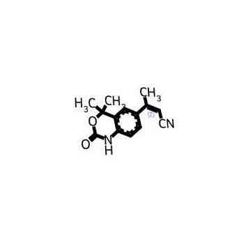 C/C(=C/C#N)c1ccc2c(c1)C(C)(C)OC(=O)N2